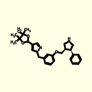 CC1(C)OB(c2cnn(Cc3cccc(OC[C@H]4CNC[C@@H]4c4ccccc4)c3)c2)OC1(C)C